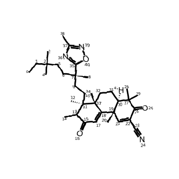 CCC(C)(C)CC[C@@](C)(CC[C@]1(C)C(C)C(=O)C=C2[C@@]3(C)C=C(C#N)C(=O)C(C)(C)[C@@H]3CC[C@]21C)c1nc(C)no1